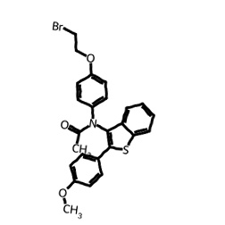 COc1ccc(-c2sc3ccccc3c2N(C(C)=O)c2ccc(OCCBr)cc2)cc1